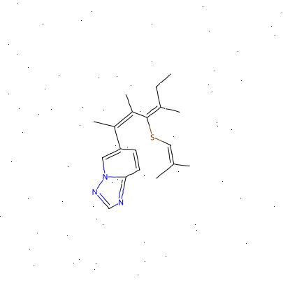 CC/C(C)=C(SC=C(C)C)\C(C)=C(\C)c1ccc2ncnn2c1